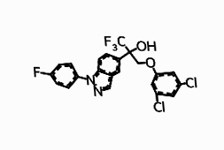 OC(COc1cc(Cl)cc(Cl)c1)(c1ccc2c(cnn2-c2ccc(F)cc2)c1)C(F)(F)F